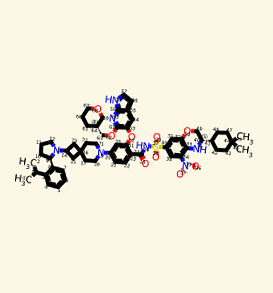 CC(C)c1ccccc1[C@H]1CCCN1C1CC2(CCN(c3ccc(C(=O)NS(=O)(=O)c4cc5c(c([N+](=O)[O-])c4)N[C@@H](C4CCC(C)(C)CC4)CO5)c(Oc4cc5cc[nH]c5nc4OC[C@@H]4CCCOC4)c3)CC2)C1